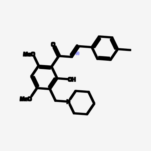 COc1cc(OC)c(C(=O)/C=C/c2ccc(C)cc2)c(O)c1CN1CCCCC1